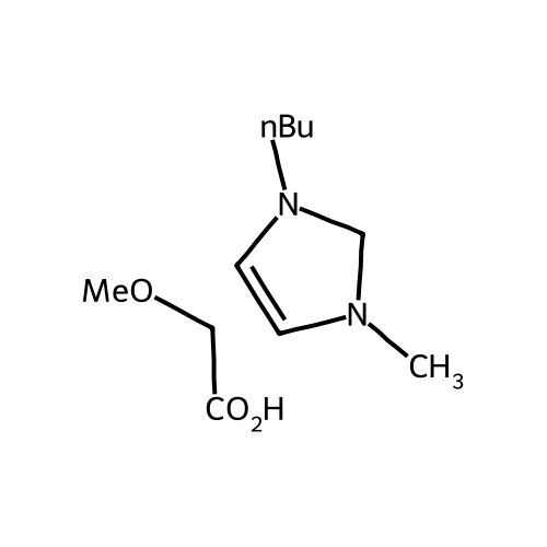 CCCCN1C=CN(C)C1.COCC(=O)O